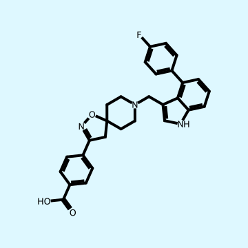 O=C(O)c1ccc(C2=NOC3(CCN(Cc4c[nH]c5cccc(-c6ccc(F)cc6)c45)CC3)C2)cc1